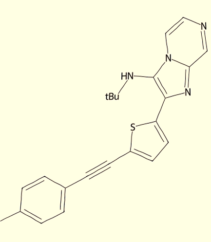 CC(C)(C)Nc1c(-c2ccc(C#Cc3ccc(F)cc3)s2)nc2cnccn12